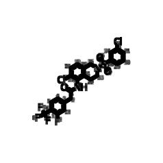 O=C(Cc1ccc(C(F)(F)F)c(F)c1)Nc1c(Cl)ccc2c1CCN(S(=O)(=O)c1cccc(Cl)c1)C2